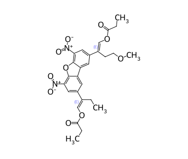 CCC(=O)O/C=C(\CC)c1cc([N+](=O)[O-])c2oc3c([N+](=O)[O-])cc(/C(=C/OC(=O)CC)CCOC)cc3c2c1